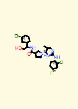 CC1CN=C(N[C@H]2CC[C@@H](F)C=C2Cl)N[C@@H]1N1C=CC(C(=O)NC(CO)C2CCC[C@H](Cl)C2)C1